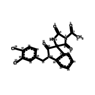 CC(=O)N1C(=O)NC2(C1=O)C(=O)N(Cc1ccc(Cl)c(Cl)c1)c1ccccc12